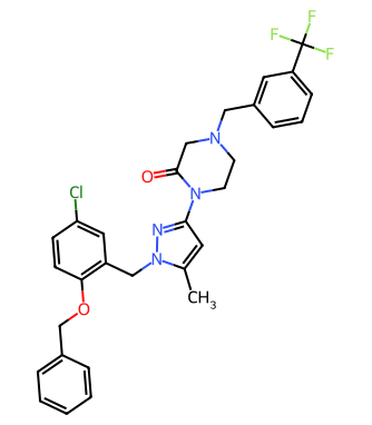 Cc1cc(N2CCN(Cc3cccc(C(F)(F)F)c3)CC2=O)nn1Cc1cc(Cl)ccc1OCc1ccccc1